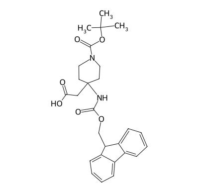 CC(C)(C)OC(=O)N1CCC(CC(=O)O)(NC(=O)OCC2c3ccccc3-c3ccccc32)CC1